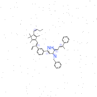 C=C/C(=C\C1=C(C)C(C)(C)C(/C=C\CC)=C1C)c1cccc(/C(N)=C/C(=N\Cc2ccccc2)C(/C)=C/C=C(\C)c2ccccc2)c1